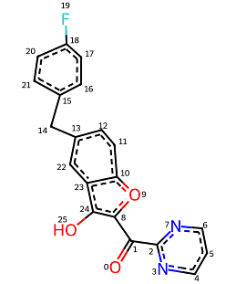 O=C(c1ncccn1)c1oc2ccc(Cc3ccc(F)cc3)cc2c1O